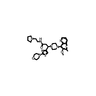 COc1c(C)cc2cccnc2c1N1CCN(C(CC(=O)NCCN2CCCC2)c2csc(N3CCOCC3)n2)CC1